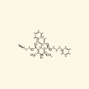 CC1=C(C(=O)OCCC#N)C(c2ccc3ccccc3c2)C(C(=O)OCCCc2ccccc2)=C(C)N1